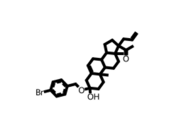 C=CCC1(C(C)=O)CCC2C3CC=C4CC(O)(OCc5ccc(Br)cc5)CCC4(C)C3CCC21C